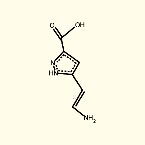 N/C=C/c1cc(C(=O)O)n[nH]1